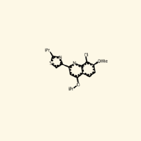 COc1ccc2c(OC(C)C)cc(-c3csc(C(C)C)n3)nc2c1Cl